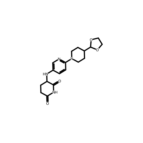 O=C1CCC(Nc2ccc(N3CCC(C4OCCO4)CC3)nc2)C(=O)N1